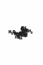 CCO[C@H]1CC[C@@](CS)(C(=O)N[C@@H](Cc2ccccc2)C(=O)Nc2cc(OC)cc(OC)c2)CC1